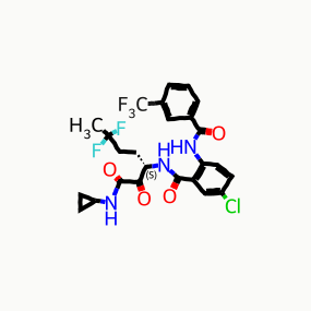 CC(F)(F)CC[C@H](NC(=O)c1cc(Cl)ccc1NC(=O)c1cccc(C(F)(F)F)c1)C(=O)C(=O)NC1CC1